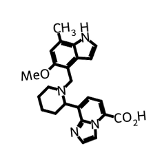 COc1cc(C)c2[nH]ccc2c1CN1CCCCC1c1ccc(C(=O)O)n2ccnc12